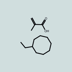 C=C(C)C(=O)O.CCC1CCCCCCC1